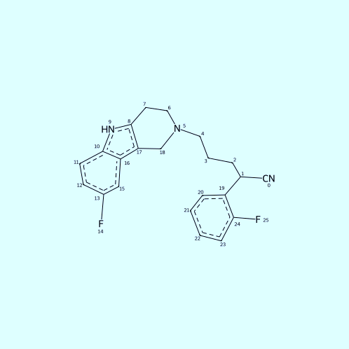 N#CC(CCCN1CCc2[nH]c3ccc(F)cc3c2C1)c1ccccc1F